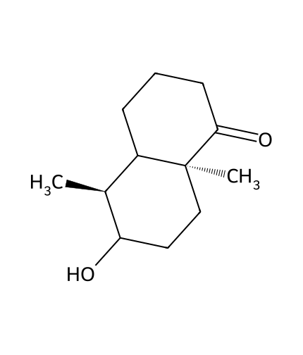 C[C@@H]1C(O)CC[C@]2(C)C(=O)CCCC12